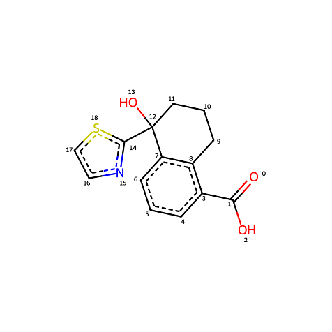 O=C(O)c1cccc2c1CCCC2(O)c1nccs1